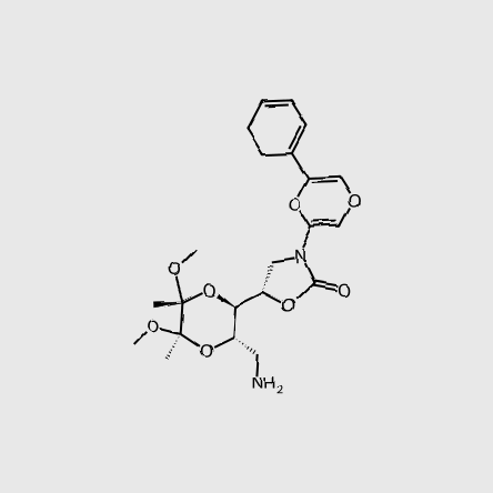 CO[C@]1(C)O[C@@H]([C@@H]2CN(C3=COC=C(C4=CC=CCC4)O3)C(=O)O2)[C@H](CN)O[C@@]1(C)OC